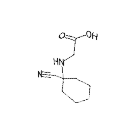 N#CC1(NCC(=O)O)CCCCC1